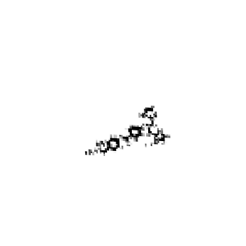 CCCN(CCC)Cc1ccc(NC(=O)c2ccc(CN(Cc3ncc[nH]3)Cc3nccn3CCC)cc2)cc1